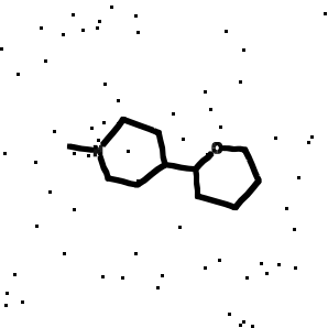 CN1CCC(C2CCCCO2)CC1